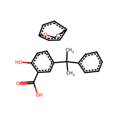 CC(C)(c1ccccc1)c1ccc(O)c(C(=O)O)c1.c1cc2ccc1CCO2